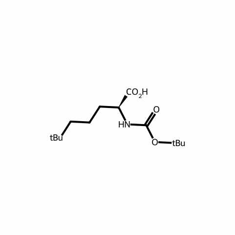 CC(C)(C)CCC[C@H](NC(=O)OC(C)(C)C)C(=O)O